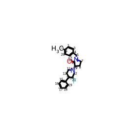 Cc1ccc(CN2CC[C@@H](N3CCC(c4cc[c]cc4)C(F)C3)C2=O)cc1